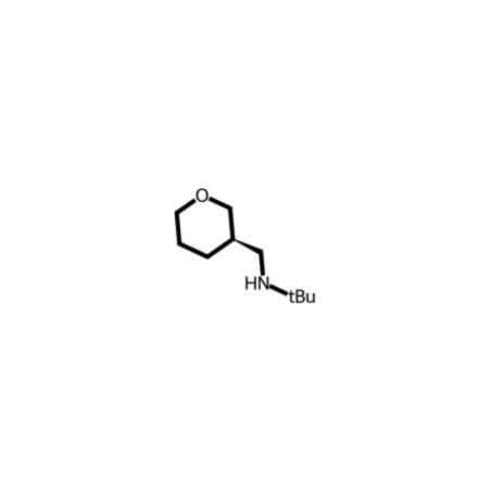 CC(C)(C)NC[C@H]1CCCOC1